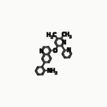 Cc1cc(Oc2ccnc3cc(-c4ccccc4N)ccc23)c(-c2ccccn2)nc1C